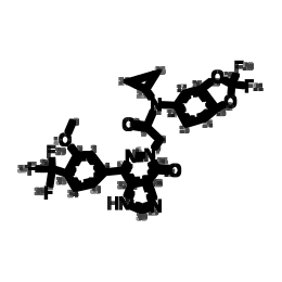 COc1cc(-c2nn(CC(=O)N(c3ccc4c(c3)OC(F)(F)O4)C3CC3)c(=O)c3nc[nH]c23)ccc1C(F)(F)F